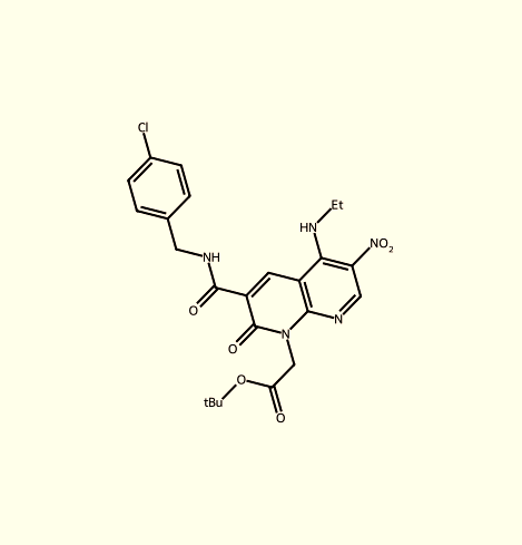 CCNc1c([N+](=O)[O-])cnc2c1cc(C(=O)NCc1ccc(Cl)cc1)c(=O)n2CC(=O)OC(C)(C)C